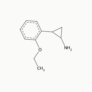 CCOc1ccccc1C1CC1N